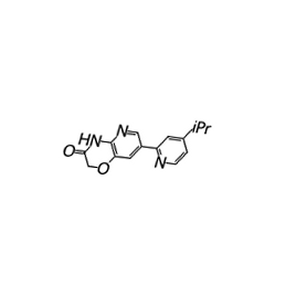 CC(C)c1ccnc(-c2cnc3c(c2)OCC(=O)N3)c1